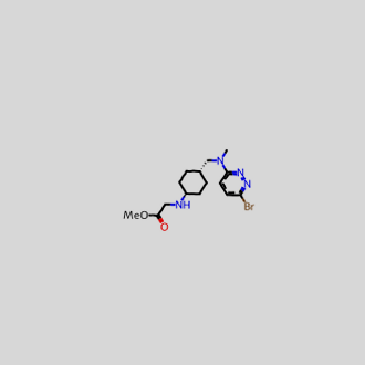 COC(=O)CN[C@H]1CC[C@H](CN(C)c2ccc(Br)nn2)CC1